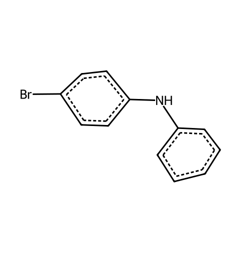 Brc1ccc(Nc2ccccc2)cc1